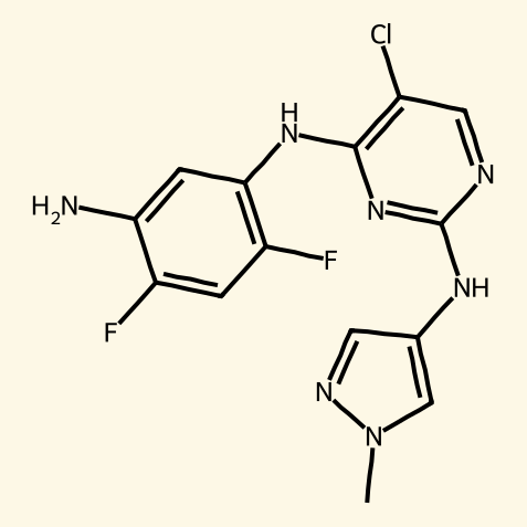 Cn1cc(Nc2ncc(Cl)c(Nc3cc(N)c(F)cc3F)n2)cn1